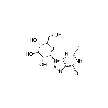 O=c1[nH]c(Cl)nc2c1ncn2[C@@H]1O[C@H](CO)[C@@H](O)[C@H](O)[C@H]1O